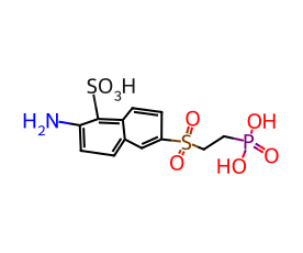 Nc1ccc2cc(S(=O)(=O)CCP(=O)(O)O)ccc2c1S(=O)(=O)O